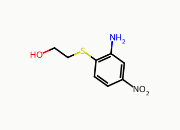 Nc1cc([N+](=O)[O-])ccc1SCCO